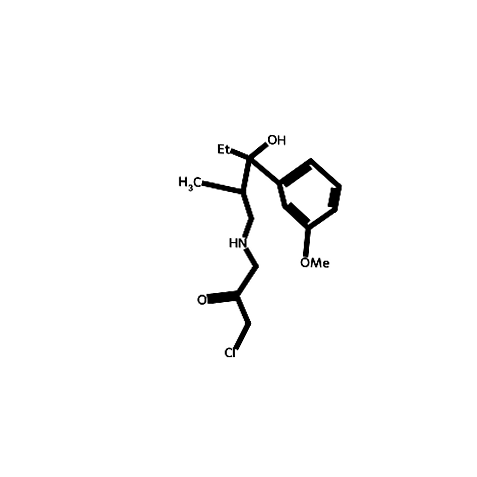 CCC(O)(c1cccc(OC)c1)C(C)CNCC(=O)CCl